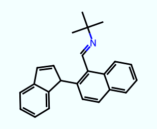 CC(C)(C)N=Cc1c(C2C=Cc3ccccc32)ccc2ccccc12